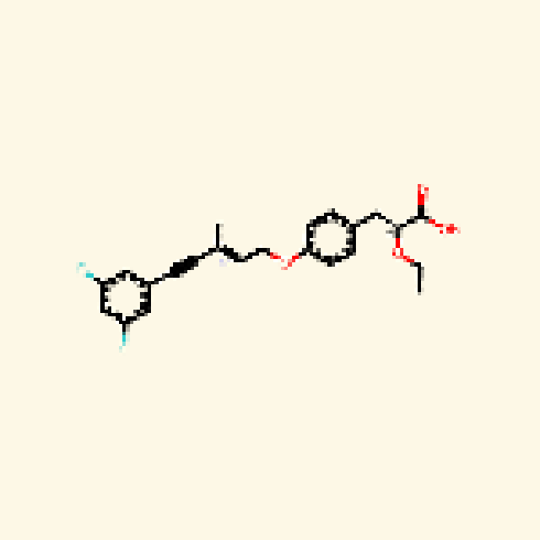 CCO[C@@H](Cc1ccc(OC/C=C(\C)C#Cc2cc(F)cc(F)c2)cc1)C(=O)O